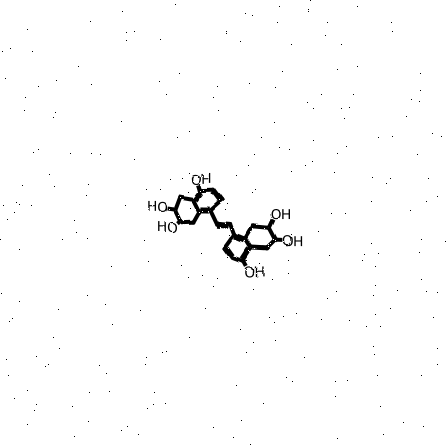 Oc1ccc(/C=C/c2ccc(O)c3c2CC(O)C(O)C3)c2c1CC(O)C(O)C2